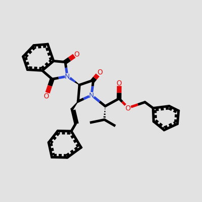 CC(C)[C@@H](C(=O)OCc1ccccc1)N1C(=O)[C@H](N2C(=O)c3ccccc3C2=O)[C@@H]1C=Cc1ccccc1